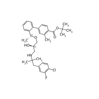 Cc1cc(-c2ccccc2[C@@H](C)OC[C@H](O)CNC(C)(C)Cc2ccc(Cl)c(F)c2)ccc1C(=O)OC(C)(C)C